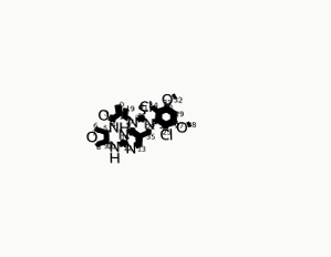 C=CC(=O)N[C@H]1COC[C@H]1Nc1ncc2c(n1)N(CC)C(=S)N(c1c(Cl)c(OC)cc(OC)c1Cl)C2